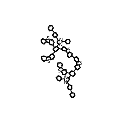 c1ccc(-c2ccc(-c3cc(-c4ccc(-c5ccc6sc7ccc(-c8ccc9c(c8)sc8ccc(-c%10cc(-c%11ccc%12sc%13ccccc%13c%12c%11)cc(-c%11ccc%12sc%13ccccc%13c%12c%11)c%10-c%10cc(-c%11ccc(-c%12ccccc%12)cc%11)nc(-c%11ccccc%11)n%10)cc89)cc7c6c5)cc4-c4ccc5sc6ccccc6c5c4)nc(-c4ccccc4)n3)cc2)cc1